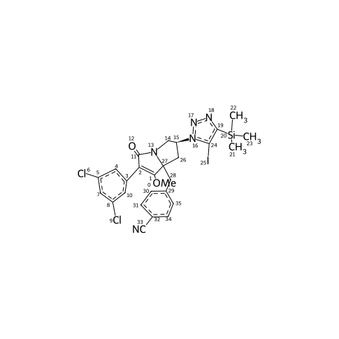 COC1=C(c2cc(Cl)cc(Cl)c2)C(=O)N2C[C@@H](n3nnc([Si](C)(C)C)c3I)CC12Cc1ccc(C#N)cc1